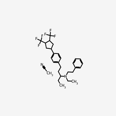 CC#N.CCC(CCc1ccc(C2CC(C(F)(F)F)C(C(F)(F)F)C2)cc1)N(CC)CCc1ccccc1